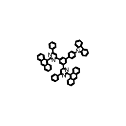 c1ccc(-c2cc(-c3cc(-c4ccc(-n5c6ccccc6c6ccccc65)cc4)cc(-c4cc(-c5ccccc5)nc(-c5c6ccccc6cc6ccccc56)n4)c3)nc(-c3c4ccccc4cc4ccccc34)n2)cc1